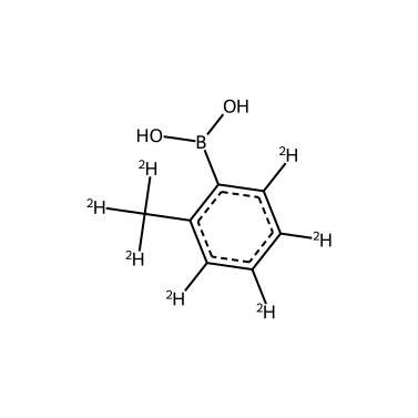 [2H]c1c([2H])c([2H])c(C([2H])([2H])[2H])c(B(O)O)c1[2H]